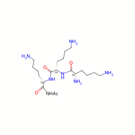 CC(=O)NC(=O)[C@H](CCCCN)NC(=O)[C@H](CCCCN)NC(=O)[C@@H](N)CCCCN